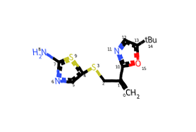 C=C(CSc1cnc(N)s1)c1ncc(C(C)(C)C)o1